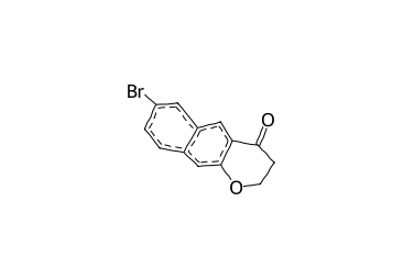 O=C1CCOc2cc3ccc(Br)cc3cc21